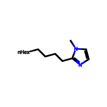 CCCCCCCCCCc1nccn1C